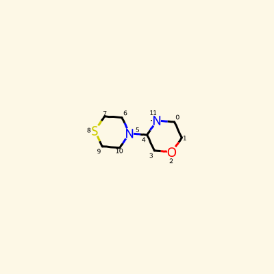 C1COCC(N2CCSCC2)[N]1